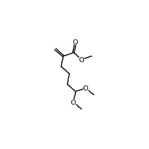 C=C(CCCC(OC)OC)C(=O)OC